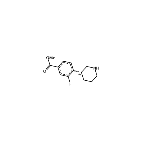 COC(=O)c1ccc([C@H]2CCCNC2)c(F)c1